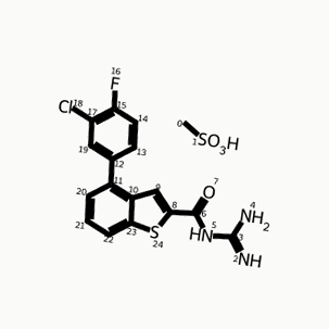 CS(=O)(=O)O.N=C(N)NC(=O)c1cc2c(-c3ccc(F)c(Cl)c3)cccc2s1